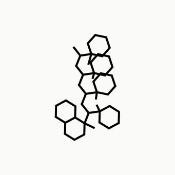 CC(CC(CC(CC(C1(C)CCCCC1)C1(C)CCCC2CCCCC21)C1(C)CCCCC1)C1(C)CCCCC1)C1(C)CCCCC1